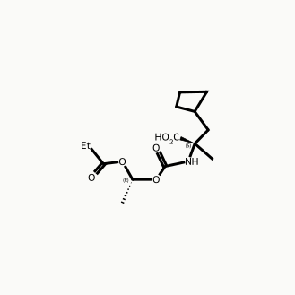 CCC(=O)O[C@@H](C)OC(=O)N[C@@](C)(CC1CCC1)C(=O)O